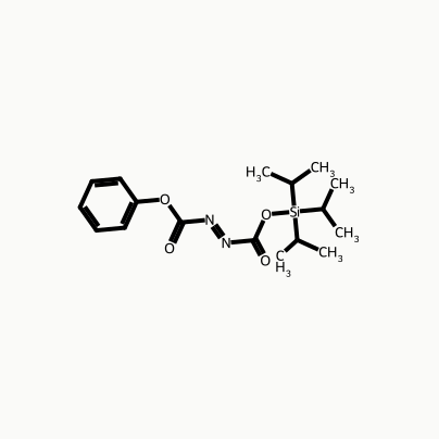 CC(C)[Si](OC(=O)/N=N/C(=O)Oc1ccccc1)(C(C)C)C(C)C